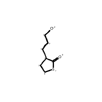 [O]CCCC1CCSC1=O